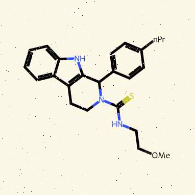 CCCc1ccc(C2c3[nH]c4ccccc4c3CCN2C(=S)NCCOC)cc1